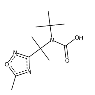 Cc1nc(C(C)(C)N(C(=O)O)C(C)(C)C)no1